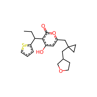 CCC(c1cccs1)c1c(O)cc(CC2(CC3CCOC3)CC2)oc1=O